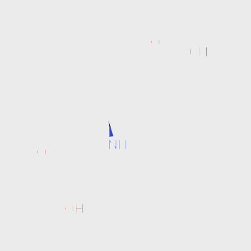 CO[C@H]1CC[C@H](NC(=O)O)C1